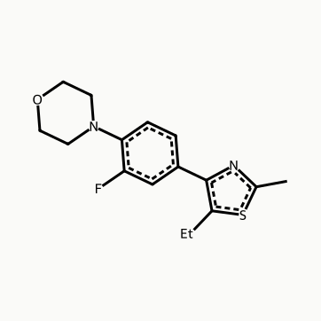 CCc1sc(C)nc1-c1ccc(N2CCOCC2)c(F)c1